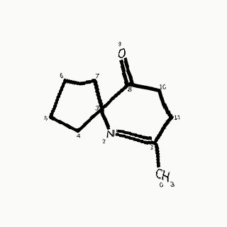 CC1=NC2(CCCC2)C(=O)CC1